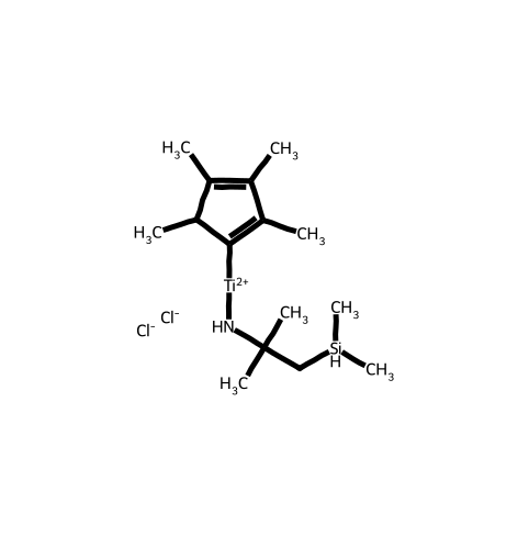 CC1=C(C)C(C)[C]([Ti+2][NH]C(C)(C)C[SiH](C)C)=C1C.[Cl-].[Cl-]